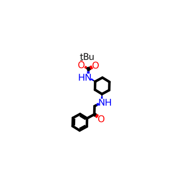 CC(C)(C)OC(=O)N[C@H]1CCC[C@@H](NCC(=O)c2ccccc2)C1